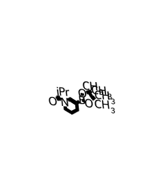 CC(C)C(=O)N1C=C(B2OC(C)(C)C(C)(C)O2)CCC1